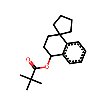 CC(C)(C)C(=O)OC1CCC2(CCCC2)c2ccccc21